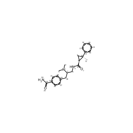 CN(C)C(CNC(=O)[C@H]1C[C@@]1(C)c1ccccc1)Cc1ccc(C(N)=O)cc1